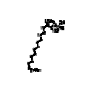 CCCCCCCC/C=C\CCCCCCCCOCC(COP(O)(O)=S)OC